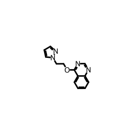 c1ccc2c(OCCn3cccn3)ncnc2c1